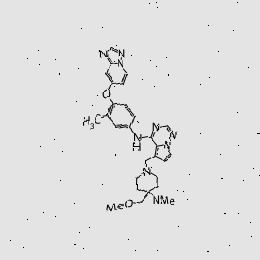 CNC1(COC)CCN(Cc2ccn3ncnc(Nc4ccc(Oc5ccn6ncnc6c5)c(C)c4)c23)CC1